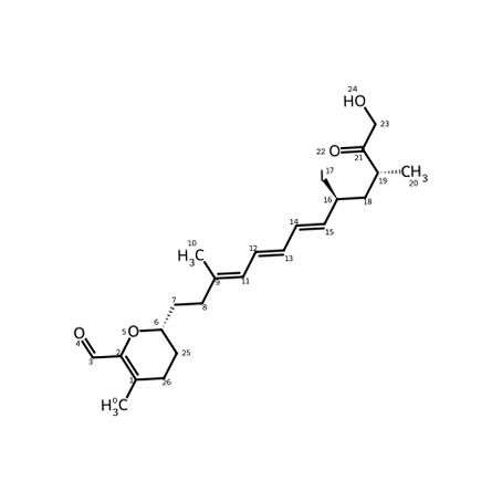 CC1=C(C=O)O[C@H](CC/C(C)=C/C=C/C=C/[C@@H](I)C[C@@H](C)C(=O)CO)CC1